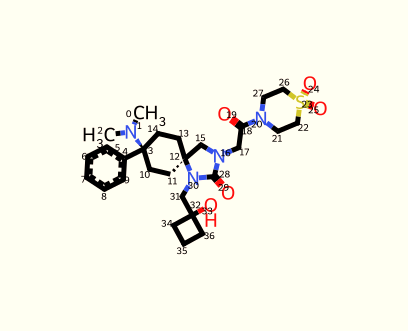 CN(C)[C@]1(c2ccccc2)CC[C@]2(CC1)CN(CC(=O)N1CCS(=O)(=O)CC1)C(=O)N2CC1(O)CCC1